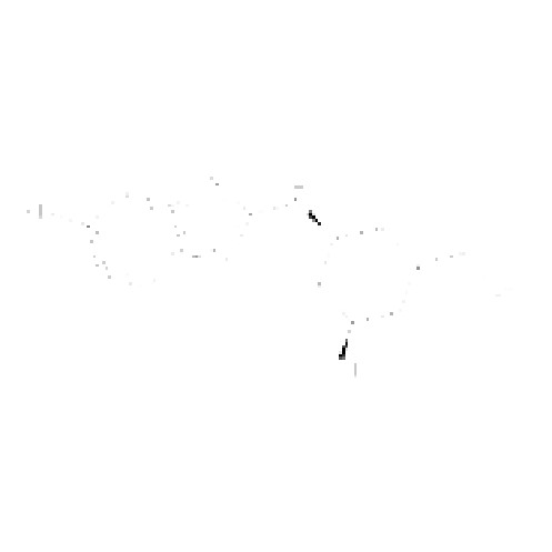 CCN1C[C@@H](O)C[C@@H](Nc2nc3nc(Cl)ccc3o2)C1